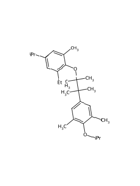 CCc1cc(C(C)C)cc(C)c1OC(C)(C)C(C)(C)c1cc(C)c(OC(C)C)c(C)c1